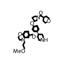 COCCCN1CCOc2ccc(CO[C@H]3CNCC[C@@H]3c3ccc(O[C@H]4CCN(C(=O)C5CCOCC5)C4)cc3)cc21